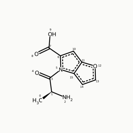 C[C@H](N)C(=O)n1c(C(=O)O)cc2occc21